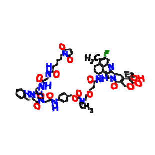 CC[C@@]1(O)C(=O)OCc2c1cc1n(c2=O)Cc2c-1nc1cc(F)c(C)c3c1c2[C@@H](NC(=O)CCOCCN(C)C(=O)OCc1ccc(NC(=O)CNC(=O)[C@H](Cc2ccccc2)NC(=O)CNC(=O)CNC(=O)CCCCCN2C(=O)C=CC2=O)cc1)CC3